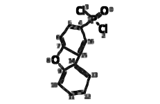 O=P(Cl)(Cl)c1ccc2oc3ccccc3c2c1